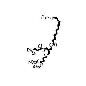 CCCCC/C=C\C/C=C\CCCCCCCC(=O)OCC(COCCCC(OCCCCCCCC)OCCCCCCCC)COC(=O)CCN(CC)CC